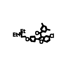 CCN(CC)CCOc1ccc(-c2oc3ccc(Cl)cc3c2C(=O)c2cc(C)cc(C)c2)cc1